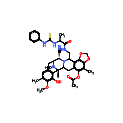 COc1c(C)cc2c(c1O)[C@H]1C3Cc4c(OC(C)=O)c(C)c5c(c4[C@H](CNC(=O)C(C)NC(=S)Nc4ccccc4)N3[C@@H](C#N)C(C2)N1C)OCO5